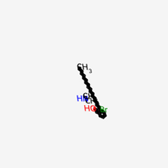 CCCCCCCCCCCCCCCCCCCCC1(Br)CCCCC1CCO.CNC